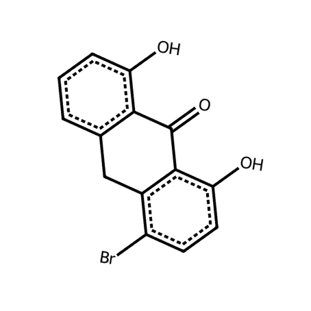 O=C1c2c(O)cccc2Cc2c(Br)ccc(O)c21